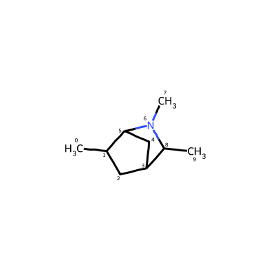 CC1CC2CC1N(C)C2C